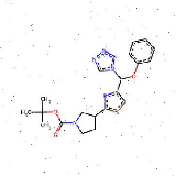 CC(C)(C)OC(=O)N1CCC(c2nc(C(Oc3ccccc3)n3cnnn3)cs2)C1